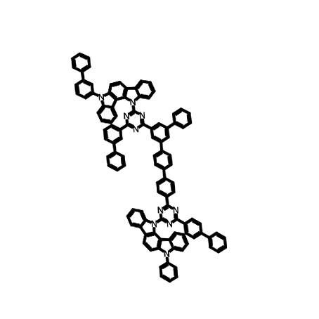 c1ccc(-c2ccc(-c3nc(-c4ccc(-c5ccc(-c6cc(-c7ccccc7)cc(-c7nc(-c8cccc(-c9ccccc9)c8)nc(-n8c9ccccc9c9ccc%10c(c%11ccccc%11n%10-c%10cccc(-c%11ccccc%11)c%10)c98)n7)c6)cc5)cc4)nc(-n4c5ccccc5c5ccc6c(c7ccccc7n6-c6ccccc6)c54)n3)cc2)cc1